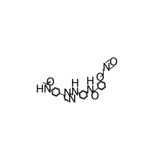 CC(=O)Nc1ccc(-c2ccnc(Nc3cccc(NC(=O)c4cccc(OCCN5CCOCC5)c4)c3)n2)cc1